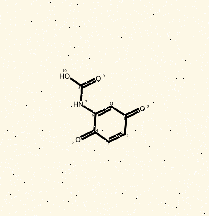 O=C1C=CC(=O)C(NC(=O)O)=C1